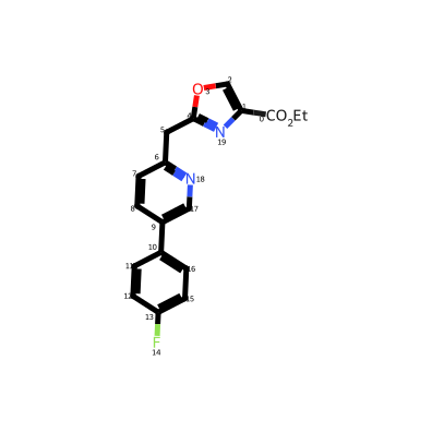 CCOC(=O)c1coc(Cc2ccc(-c3ccc(F)cc3)cn2)n1